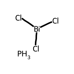 P.[Cl][Bi]([Cl])[Cl]